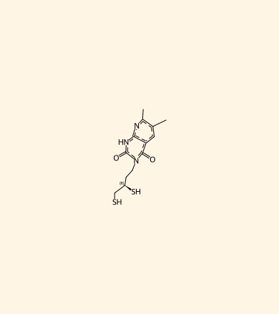 Cc1cc2c(=O)n(CC[C@@H](S)CS)c(=O)[nH]c2nc1C